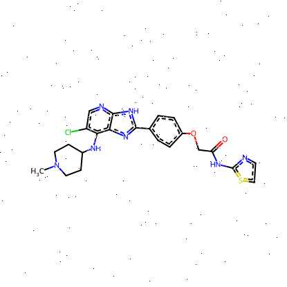 CN1CCC(Nc2c(Cl)cnc3[nH]c(-c4ccc(OCC(=O)Nc5nccs5)cc4)nc23)CC1